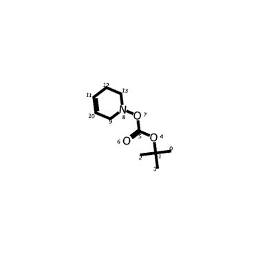 CC(C)(C)OC(=O)ON1CC=CCC1